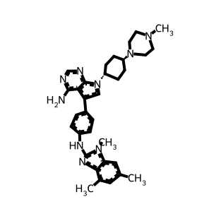 Cc1cc(C)c2nc(Nc3ccc(-c4cn([C@H]5CC[C@H](N6CCN(C)CC6)CC5)c5ncnc(N)c45)cc3)n(C)c2c1